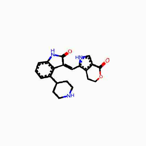 O=C1Nc2cccc(C3CCNCC3)c2C1=Cc1[nH]cc2c1CCOC2=O